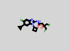 O=C(CC(O)(CF)CF)Nc1nc2cc(F)c(C3CC3)cc2n1C1CCC1